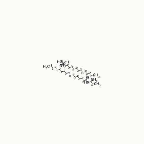 CCCCCCCCC=CCCCCCCCC(=O)NC(N)CC.CCCCCCCCCCCCCOP(=O)(O)O